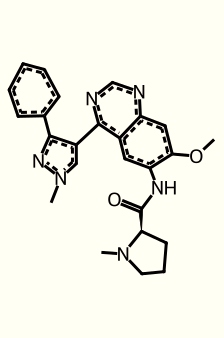 COc1cc2ncnc(-c3cn(C)nc3-c3ccccc3)c2cc1NC(=O)[C@H]1CCCN1C